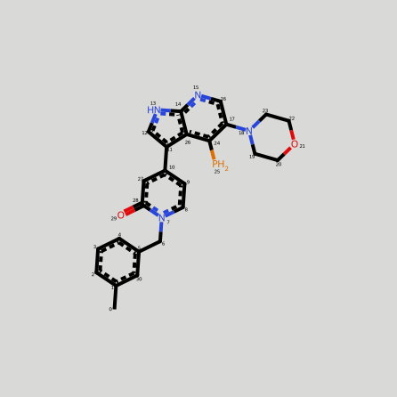 Cc1cccc(Cn2ccc(-c3c[nH]c4ncc(N5CCOCC5)c(P)c34)cc2=O)c1